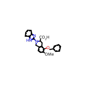 COc1ccc2c(c1OCc1ccccc1)CC(C(=O)O)N(c1nc3ccccc3[nH]1)C2